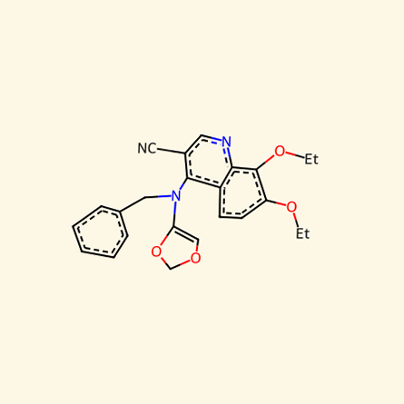 CCOc1ccc2c(N(Cc3ccccc3)C3=COCO3)c(C#N)cnc2c1OCC